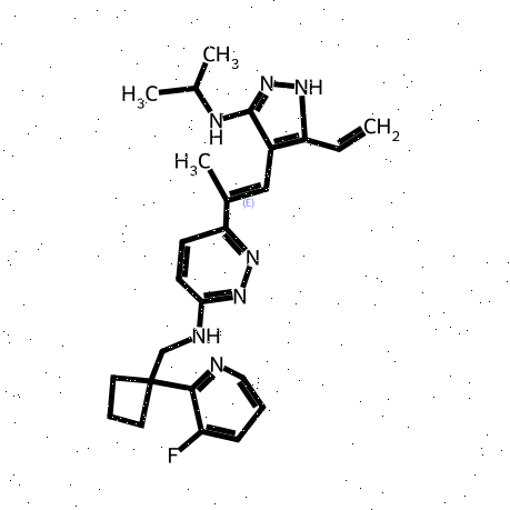 C=Cc1[nH]nc(NC(C)C)c1/C=C(\C)c1ccc(NCC2(c3ncccc3F)CCC2)nn1